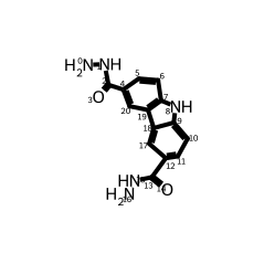 NNC(=O)c1ccc2[nH]c3ccc(C(=O)NN)cc3c2c1